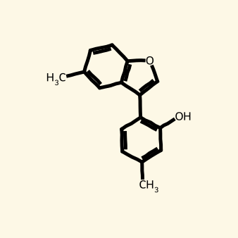 Cc1ccc(-c2coc3ccc(C)cc23)c(O)c1